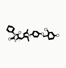 Cc1cc(/C=C2/SC(=O)N(c3ccccc3)C2=O)c(C)n1-c1ccc(OCc2ccc(Cl)cc2Cl)cc1